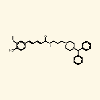 COc1cc(C=CC=CC(=O)NCCCN2CCN(C(c3ccccc3)c3ccccc3)CC2)ccc1O